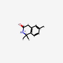 Cc1ccc2c(c1)CC(=O)NC2(C)C